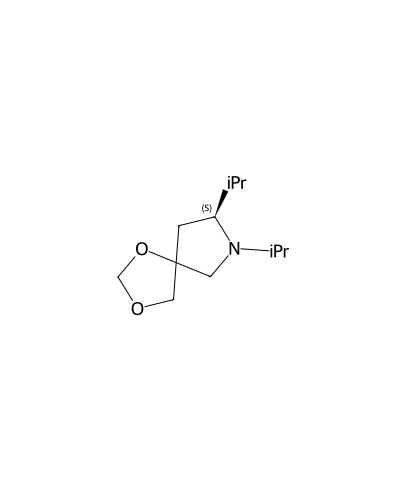 CC(C)[C@@H]1CC2(COCO2)CN1C(C)C